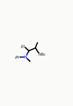 CCCCC(C)C(CC)N(C)C(C)C